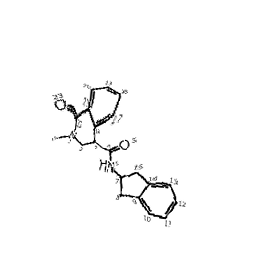 CN1CC(C(=O)NC2Cc3ccccc3C2)c2ccccc2C1=O